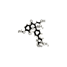 CC(C)Oc1ccc(C(=O)[C@@H](CCO)[C@](N)(O)c2ccc(-c3cn(C)c(C(C)(C)C)n3)cc2)cc1Cl